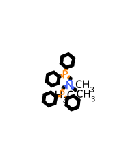 CC(C)(C)N(CP(C1CCCCC1)C1CCCCC1)CP(C1CCCCC1)C1CCCCC1